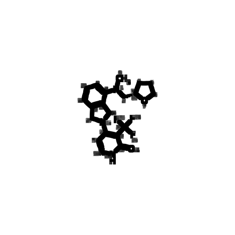 CN(C[C@@H]1CCCO1)c1cccc2c1CN(c1cn[nH]c(=O)c1C(F)(F)F)C2